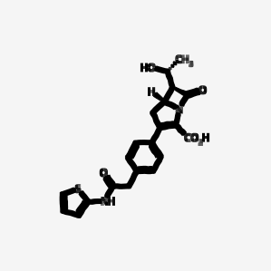 C[C@@H](O)[C@H]1C(=O)N2C(C(=O)O)=C(c3ccc(CC(=O)Nc4cccs4)cc3)C[C@H]12